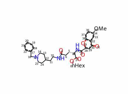 CCCCCCOC(=O)[C@H](CCC(=O)NCCC1CCN(Cc2ccccc2)CC1)NC(=O)c1cc(=O)c2cc(OC)ccc2o1